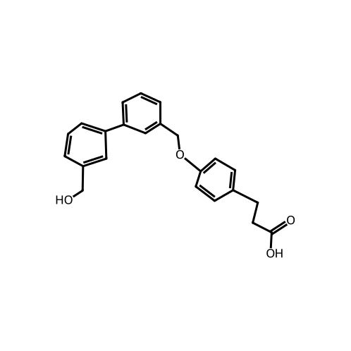 O=C(O)CCc1ccc(OCc2cccc(-c3cccc(CO)c3)c2)cc1